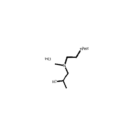 CCCCCCCN(C)CC(C)O.Cl